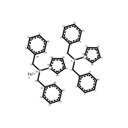 [Fe+2].c1ccc(CP(Cc2ccccc2)[c-]2cccc2)cc1.c1ccc(CP(Cc2ccccc2)[c-]2cccc2)cc1